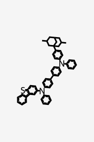 CC1CC2CC(C)CC(c3ccc(N(c4ccccc4)c4ccc(-c5ccc(N(c6ccccc6)c6ccc7sc8ccccc8c7c6)cc5)cc4)cc3)(C1)C2